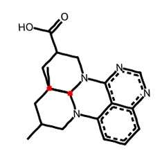 CC1CC(C)CN(c2cccc3ncnc(N4CCCC(C(=O)O)C4)c23)C1